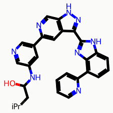 CC(C)CC(O)Nc1cncc(-c2cc3c(-c4nc5c(-c6ccccn6)cccc5[nH]4)n[nH]c3cn2)c1